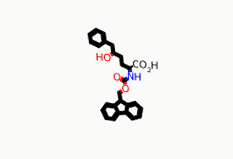 O=C(N[C@@H](CCC(O)Cc1ccccc1)C(=O)O)OCC1c2ccccc2-c2ccccc21